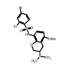 CCc1cc(Br)ccc1S(=O)(=O)Nc1ccc(OC)c2c1OC[C@H](N(C)C)C2